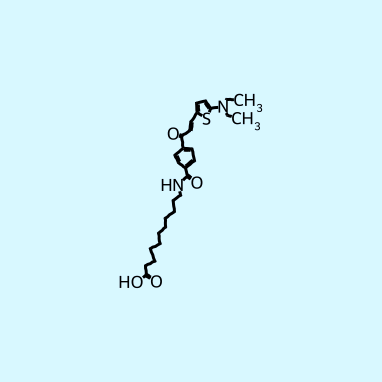 CCN(CC)c1ccc(/C=C/C(=O)c2ccc(C(=O)NCCCCCCCCCCC(=O)O)cc2)s1